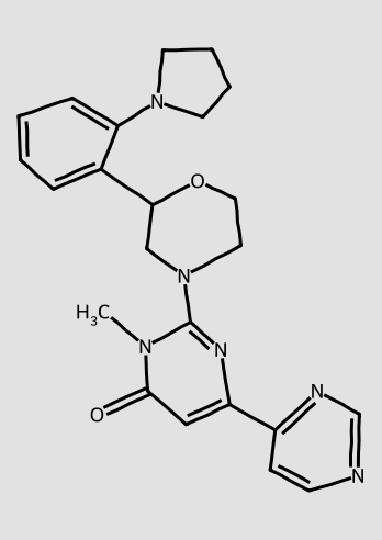 Cn1c(N2CCOC(c3ccccc3N3CCCC3)C2)nc(-c2ccncn2)cc1=O